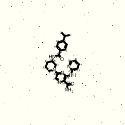 CC(C)c1ccc(C(=O)N[C@@H]2CCCN(c3cnc(C(N)=O)c(Nc4ccccn4)n3)C2)cc1